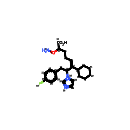 NOC(CC/C=C(/C1CCCCC1)C(Cc1ccc(F)cc1)n1ccnc1)C(=O)O